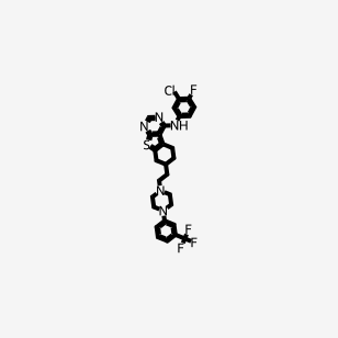 Fc1ccc(Nc2ncnc3sc4c(c23)CCC(CCN2CCN(c3cccc(C(F)(F)F)c3)CC2)C4)cc1Cl